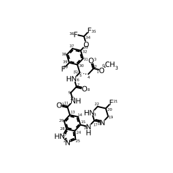 COC(=O)C[C@H](NC(=O)CNC(=O)c1cc(NC2=NCC(F)CN2)c2cn[nH]c2c1)c1cc(OC(F)F)ccc1F